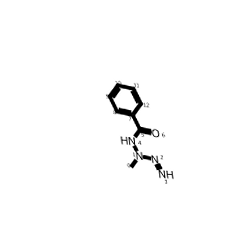 CN(N=N)NC(=O)c1ccccc1